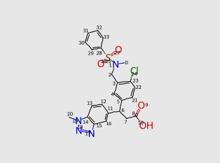 CN(Cc1cc(C(CC(=O)O)c2ccc3c(c2)nnn3C)ccc1Cl)S(=O)(=O)c1ccccc1